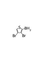 Bc1scc(Br)c1Br